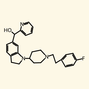 OC(c1ccc2c(c1)N(C1CCN(CCc3ccc(F)cc3)CC1)CC2)c1ccccn1